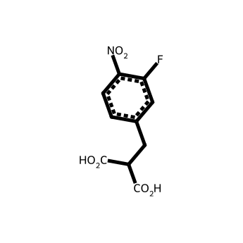 O=C(O)C(Cc1ccc([N+](=O)[O-])c(F)c1)C(=O)O